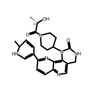 CC1C=CC(c2ccc3ncc4c(c3n2)N(C2CCN(C(=O)[C@H](C)O)CC2)C(=O)NC4)=CN1